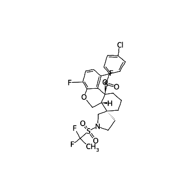 CC(F)(F)S(=O)(=O)N1CC[C@]2(CCC[C@@]3(S(=O)(=O)c4ccc(Cl)cc4)c4c(F)ccc(F)c4OC[C@@H]23)C1